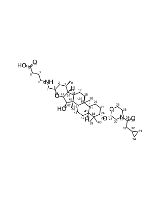 C[C@@H]1CC(CNCCCC(=O)O)OC2[C@H]1[C@@]1(C)CC[C@@]34C[C@@]35CC[C@H](O[C@H]3CN(C(=O)CC6CC6)CCO3)C(C)(C)[C@@H]5CCC4[C@]1(C)[C@H]2O